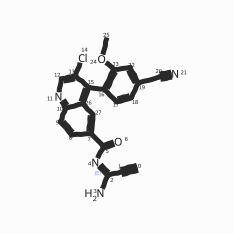 C#C/C(N)=N\C(=O)c1ccc2ncc(Cl)c(-c3ccc(C#N)cc3OC)c2c1